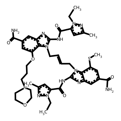 CCn1nc(C)cc1C(=O)Nc1nc2cc(C(N)=O)cc(OCCCN3CCOCC3)c2n1CC=CCn1c(NC(=O)c2cc(C)nn2CC)nc2cc(C(N)=O)cc(SC)c21